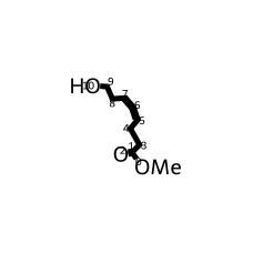 COC(=O)CCC=C=CCCO